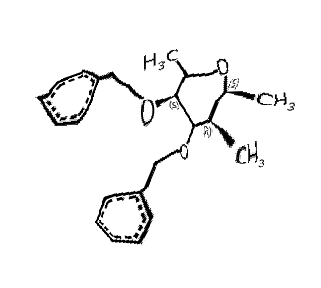 CC1O[C@@H](C)[C@@H](C)C(OCc2ccccc2)[C@H]1OCc1ccccc1